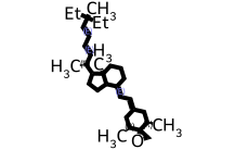 CCC(C)(/C=C/C=C/[C@@H](C)C1CCC2/C(=C/C=C3C[C@@H](C)C4(CO4)[C@H](C)C3)CCCC21C)CC